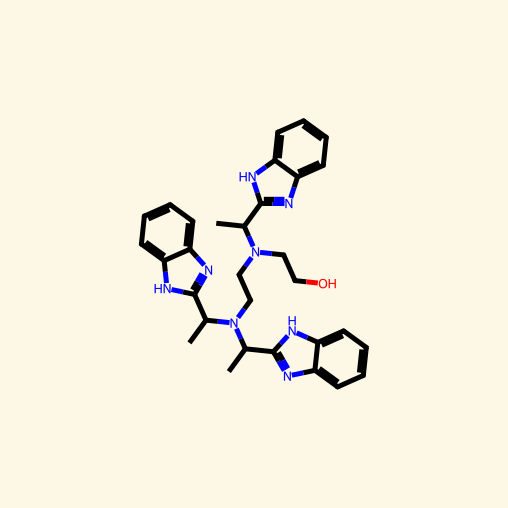 CC(c1nc2ccccc2[nH]1)N(CCO)CCN(C(C)c1nc2ccccc2[nH]1)C(C)c1nc2ccccc2[nH]1